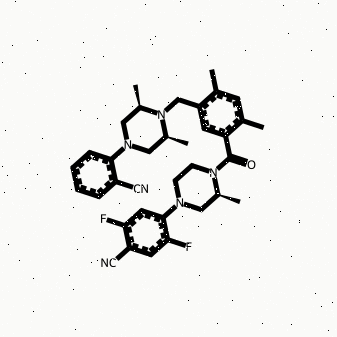 Cc1cc(C)c(C(=O)N2CCN(c3cc(F)c(C#N)cc3F)C[C@@H]2C)cc1CN1[C@H](C)CN(c2ccccc2C#N)C[C@@H]1C